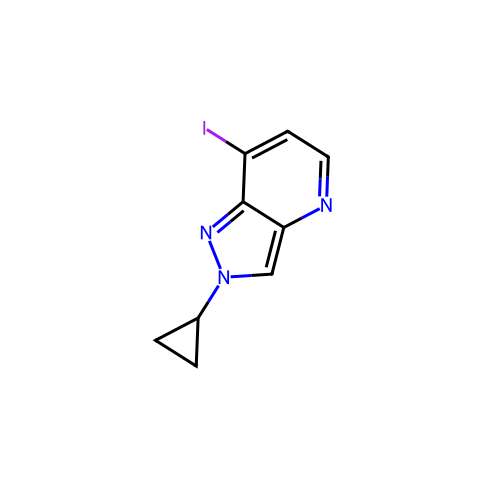 Ic1ccnc2cn(C3CC3)nc12